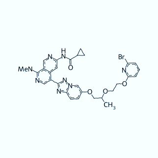 CNc1ncc(-c2nc3ccc(OCC(C)OCCOc4cccc(Br)n4)cn3n2)c2cc(NC(=O)C3CC3)ncc12